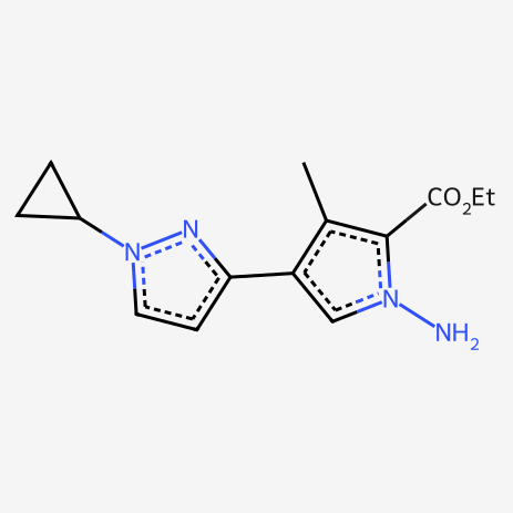 CCOC(=O)c1c(C)c(-c2ccn(C3CC3)n2)cn1N